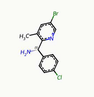 Cc1cc(Br)cnc1[C@@H](N)c1ccc(Cl)cc1